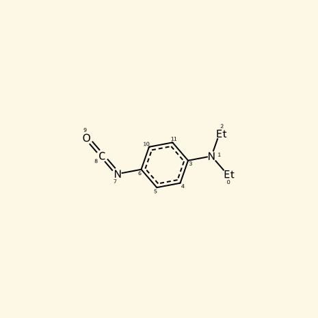 CCN(CC)c1ccc(N=C=O)cc1